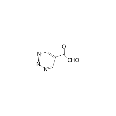 O=CC(=O)c1cnnnc1